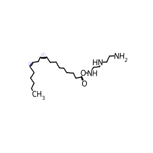 CCCCC/C=C\C/C=C\CCCCCCCC(=O)ONCCNCCN